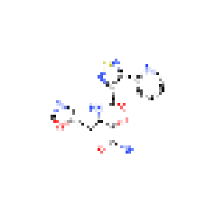 NC(=O)C(=O)C(Cc1cnco1)NC(=O)c1nsnc1-c1ccccn1